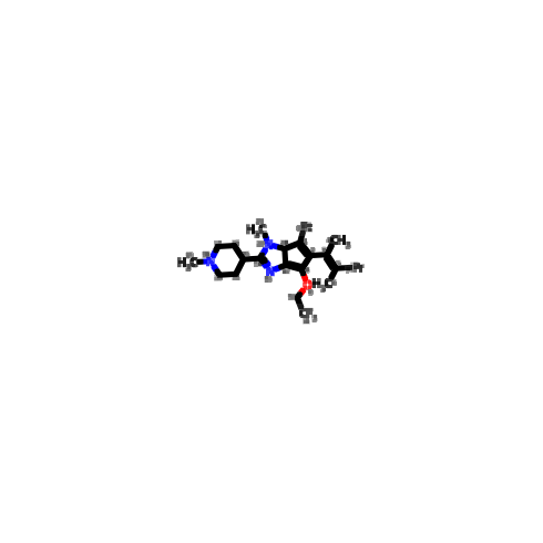 CCC1=C(/C(C)=C(\C)C(C)C)C(OCC(F)(F)F)=C2N=C(C3CCN(C)CC3)N(C)C12